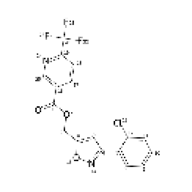 O=C(OCc1cc(-c2ccccc2Cl)no1)c1ccc(C(F)(F)F)nc1